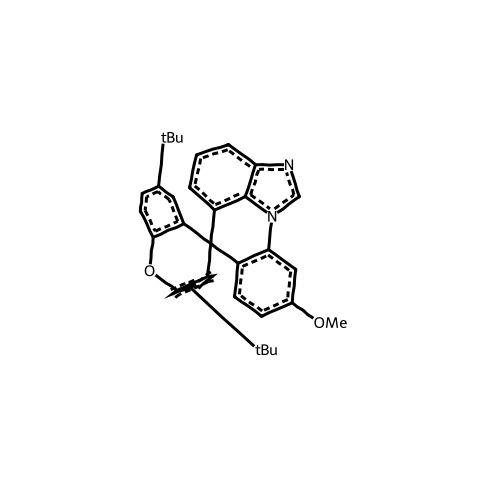 COc1ccc2c(c1)-n1cnc3cccc(c31)C21c2cc(C(C)(C)C)ccc2Oc2ccc(C(C)(C)C)cc21